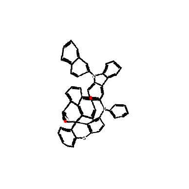 c1ccc(N(c2ccc3c(c2)C2(c4ccccc4S3)c3ccccc3-c3cccc4cccc2c34)c2ccc3c(c2)c2ccccc2n3-c2ccc3ccccc3c2)cc1